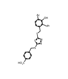 CCCc1c(CSc2nnc(SCc3ccc(C(=O)O)cc3)s2)ccc(C(C)=O)c1O